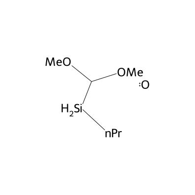 CCC[SiH2]C(OC)OC.[O]